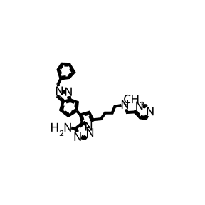 CN(CCCCc1cc(-c2ccc3cn(Cc4ccccc4)nc3c2)c2c(N)ncnn12)Cc1ccncn1